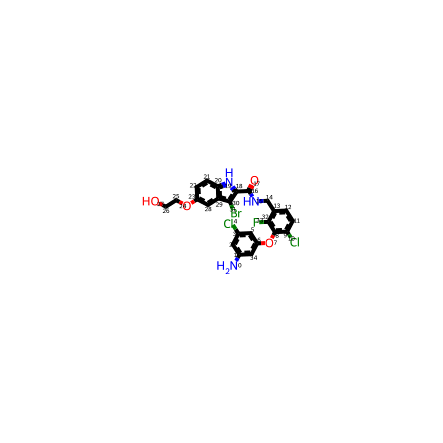 Nc1cc(Cl)cc(Oc2c(Cl)ccc(CNC(=O)c3[nH]c4ccc(OCCO)cc4c3Br)c2F)c1